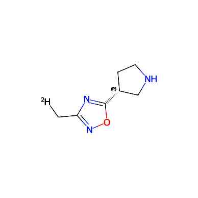 [2H]Cc1noc([C@@H]2CCNC2)n1